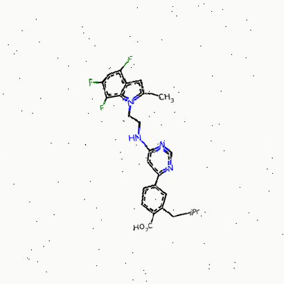 Cc1cc2c(F)cc(F)c(F)c2n1CCNc1cc(-c2ccc(C(=O)O)c(CC(C)C)c2)ncn1